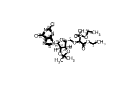 CCOC(=O)C(OC[C@H]1O[C@@H](n2cnc3c(Cl)nc(Cl)nc32)[C@@H]2OC(C)(C)O[C@@H]21)P(C)(=O)OCC